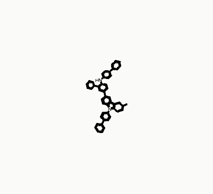 CC1C=Cc2c(c3cc(-c4ccc(Nc5ccc(-c6ccccc6)cc5)c(-c5ccccc5)c4)ccc3n2-c2ccc(-c3ccccc3)cc2)C1